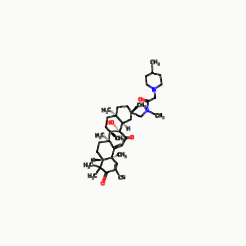 CC1CCN(CC(=O)N(C)C[C@@]2(C)CC[C@]3(C)CC[C@@]4(C)[C@]5(C)CC[C@H]6C(C)(C)C(=O)C(C#N)=C[C@]6(C)C5=CC(=O)[C@]4(O)[C@@H]3C2)CC1